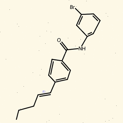 CCC/C=C/c1ccc(C(=O)Nc2cccc(Br)c2)cc1